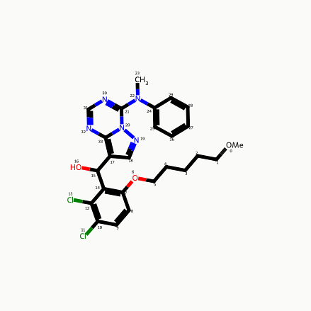 COCCCCCOc1ccc(Cl)c(Cl)c1C(O)c1cnn2c(N(C)c3ccccc3)ncnc12